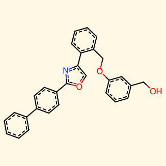 OCc1cccc(OCc2ccccc2-c2coc(-c3ccc(-c4ccccc4)cc3)n2)c1